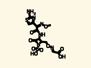 CON=C(C(=O)NC1C(=O)N(S(=O)(=O)O)C1CON=CC(=O)O)c1csc(N)n1